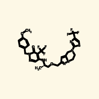 COc1ccc(Cn2ncc(N[C@@H](C)COCc3cc4n(n3)CCN(c3nc(C(F)(F)F)cs3)C4)c(C(F)(F)F)c2=O)cc1